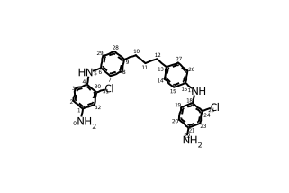 Nc1ccc(Nc2ccc(CCCc3ccc(Nc4ccc(N)cc4Cl)cc3)cc2)c(Cl)c1